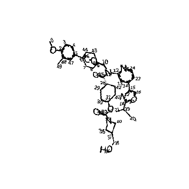 COc1ccc(C23CCC(CN(c4cc(-c5coc(C(C)C)n5)ccn4)C(=O)[C@H]4CC[C@H](OC(=O)N5CC(CO)C5)CC4)(CC2)CC3)cc1C